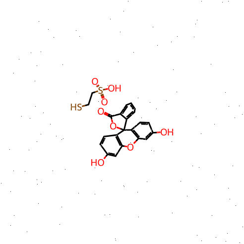 O=C1OC2(c3ccc(O)cc3Oc3cc(O)ccc32)c2ccccc21.O=S(=O)(O)CCS